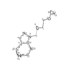 COCCOCn1ncc2cncnc21